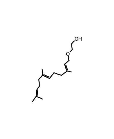 CC(C)=CCCC(C)=CCCC(C)=CCOCCO